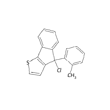 Cc1ccccc1C1(Cl)c2ccccc2-c2sccc21